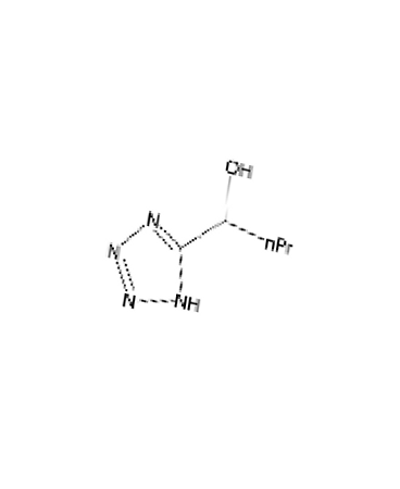 CCCC(O)c1nnn[nH]1